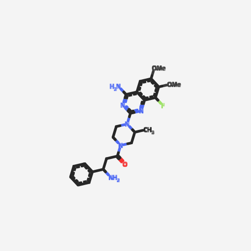 COc1cc2c(N)nc(N3CCN(C(=O)CC(N)c4ccccc4)CC3C)nc2c(F)c1OC